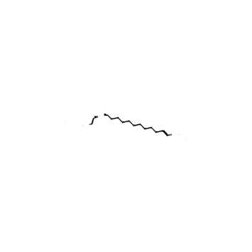 CCCCC=CCCCCCCCCCC=C=CCC(=O)O